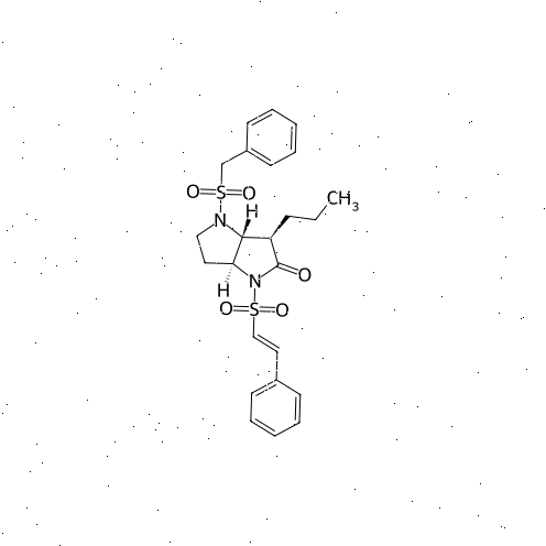 CCC[C@H]1C(=O)N(S(=O)(=O)/C=C/c2ccccc2)[C@H]2CCN(S(=O)(=O)Cc3ccccc3)[C@H]12